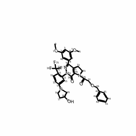 COc1cc(OC)cc(-c2nn(-c3cc(N4CCC(O)C4)ccc3C(F)(F)F)c(=O)c3c2CCN3C(=O)COCc2ccccc2)c1